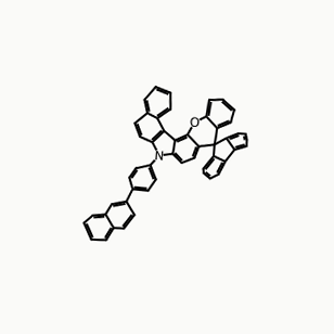 c1ccc2c(c1)Oc1c(ccc3c1c1c4ccccc4ccc1n3-c1ccc(-c3ccc4ccccc4c3)cc1)C21c2ccccc2-c2ccccc21